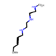 COCC=CCNCCNCCNC(=O)O